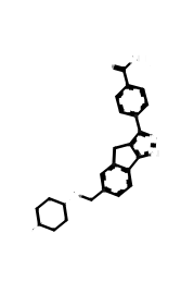 NC(=O)c1ccc(-c2n[nH]c3c2Cc2cc(CN[C@H]4CC[C@H](O)CC4)ccc2-3)cc1